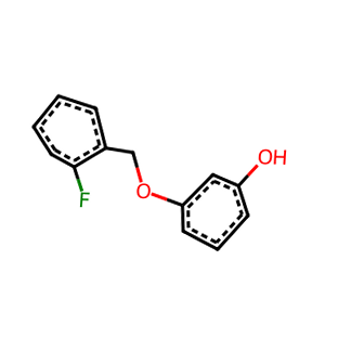 Oc1cccc(OCc2ccccc2F)c1